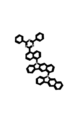 c1ccc(-c2nc(-c3ccccc3)nc(-c3cccc4c(-n5c6ccccc6c6cc7c(-n8c9ccccc9c9cc%10ccccc%10cc98)cccc7cc65)cccc34)n2)cc1